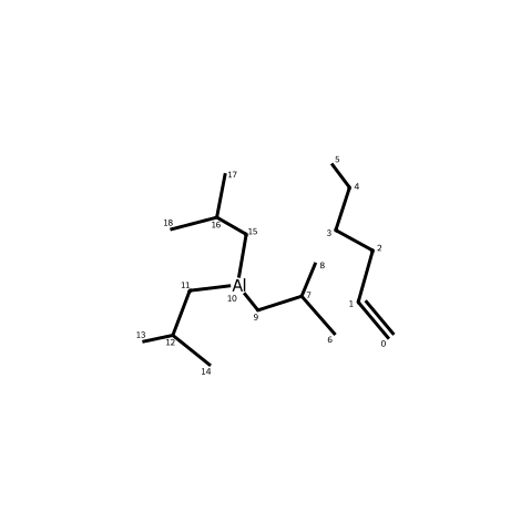 C=CCCCC.CC(C)[CH2][Al]([CH2]C(C)C)[CH2]C(C)C